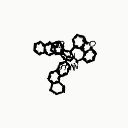 N/N=C(\N=C(\c1ccccc1)c1ccc2c3c(ccc2c1)CCC=C3)c1cccc2oc3cccc(-c4cccc5c4oc4cc6ccccc6cc45)c3c12